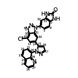 O=c1[nH]c2ccc(-n3nnc4c(Cl)cc(-c5ccnn5-c5cccc6cccnc56)cc43)cc2[nH]1